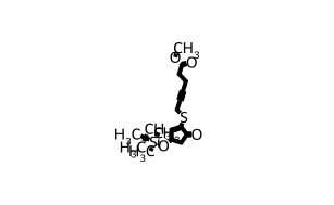 COC(=O)CCC#CCSC1=CC(O[Si](C)(C)C(C)(C)C)CC1=O